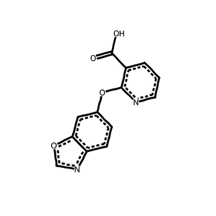 O=C(O)c1cccnc1Oc1ccc2ncoc2c1